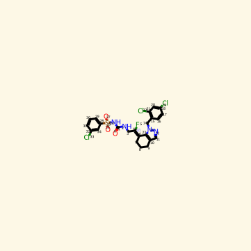 O=C(NC/C(F)=C1\CCCc2cnn(Cc3ccc(Cl)cc3Cl)c21)NS(=O)(=O)c1cccc(Cl)c1